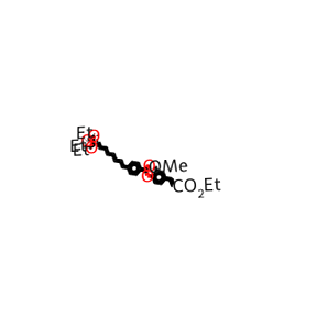 CCOC(=O)C=Cc1ccc(OC(=O)c2ccc(CCCCCCCC[Si](OCC)(OCC)OCC)cc2)c(OC)c1